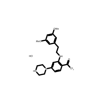 COc1cc(CCNc2cc(N3CCNCC3)ccc2C(=O)C(F)(F)F)cc(OC)c1.Cl